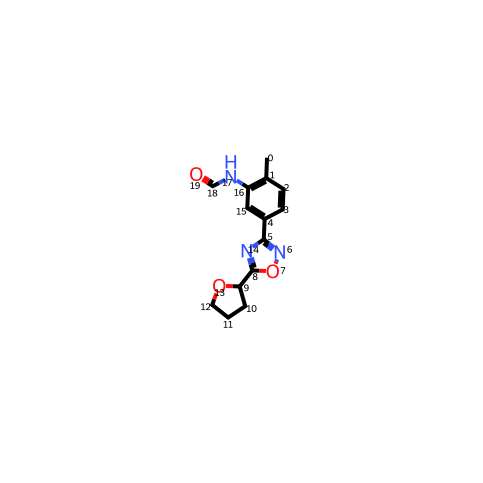 Cc1ccc(-c2noc(C3CCCO3)n2)cc1NC=O